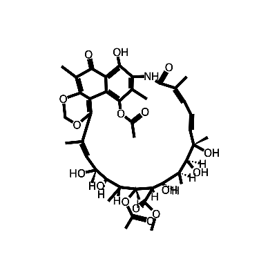 COC(=O)[C@@H]1[C@H](O)[C@H](C)[C@H](O)[C@@](C)(O)/C=C/C=C(/C)C(=O)Nc2c(C)c(OC(C)=O)c3c(c2O)C(=O)C(C)=C2OCOC(=C23)/C(C)=C\[C@@](C)(O)[C@H](O)[C@@H](C)[C@H]1OC(C)=O